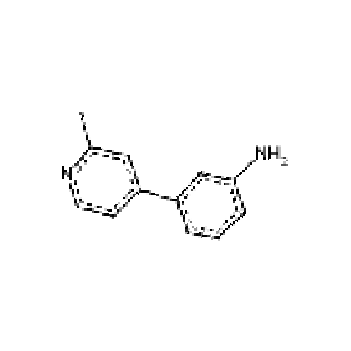 Cc1cc(-c2cccc(N)c2)ccn1